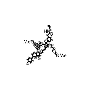 C#CCNC(=O)Cc1ccc2c(c1)C(C)(CCCS(=O)(=O)[O-])\C(=C/C=C/C=C/C1=[N+](CCOCCOC)c3ccc(-c4ccc(C)cc4)cc3C1(C)C)N2CCCOCCOC